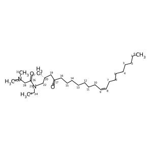 CCCCCCCC/C=C\CCCCCCCC(=O)C[C@@H](C)CN(CC)C(=O)CN(C)C